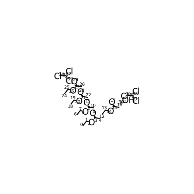 CCOC(C)=O.CCOC(C)=O.CCOC(C)=O.CCOC(C)=O.CCOC(C)=O.CO.ClC(Cl)Cl.ClC(Cl)Cl